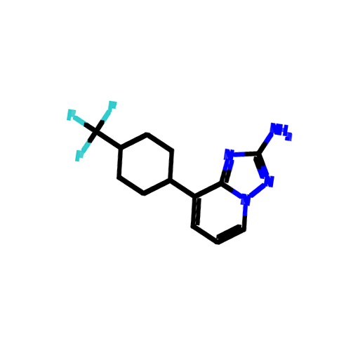 Nc1nc2c(C3CCC(C(F)(F)F)CC3)cccn2n1